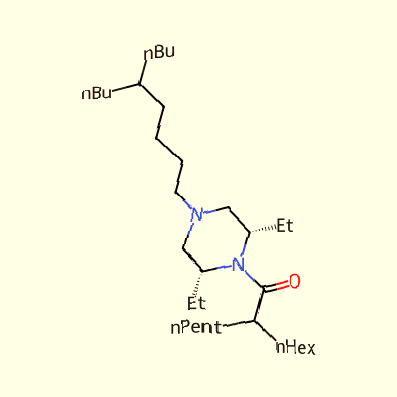 CCCCCCC(CCCCC)C(=O)N1[C@H](CC)CN(CCCCC(CCCC)CCCC)C[C@@H]1CC